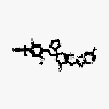 COc1cc(C(C)(C)C#N)c(F)cc1CCC1(C2CCCC2)CC(=O)C(Cc2nc3ncc(C)cn3n2)=C(O)C1